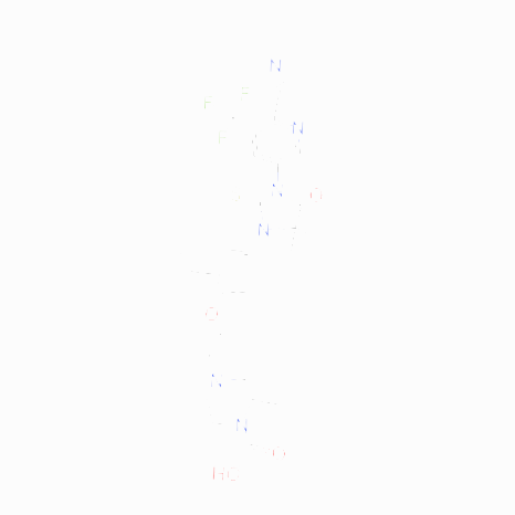 CCc1cc(N2C(=S)N(c3cnc(C#N)c(C(F)(F)F)c3)C(=O)C2(C)C)ccc1OCCN1CCN(C(=O)O)C(C)C1